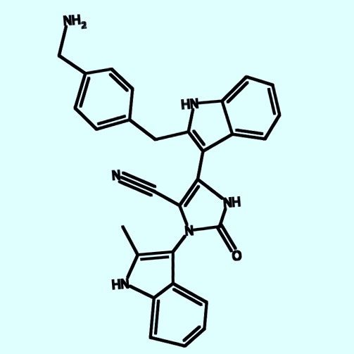 Cc1[nH]c2ccccc2c1-n1c(C#N)c(-c2c(Cc3ccc(CN)cc3)[nH]c3ccccc23)[nH]c1=O